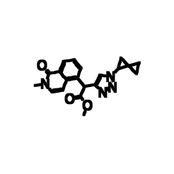 COC(=O)C(c1cn(C2CC23CC3)nn1)c1cccc2c(=O)n(C)ccc12